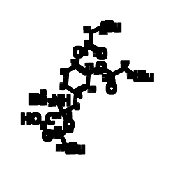 CCC(C)N[C@@](Cc1ccc(OC(=O)CC(C)(C)C)c(OC(=O)CC(C)(C)C)c1)(OC(=O)C(C)(C)C)C(=O)O